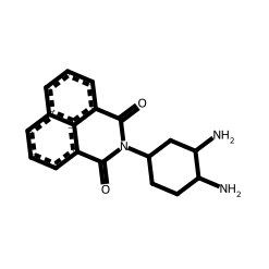 NC1CCC(N2C(=O)c3cccc4cccc(c34)C2=O)CC1N